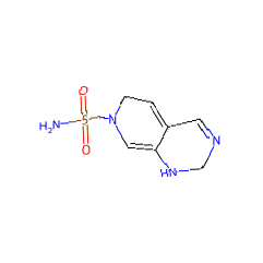 NS(=O)(=O)N1C=C2NCN=CC2=CC1